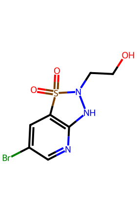 O=S1(=O)c2cc(Br)cnc2NN1CCO